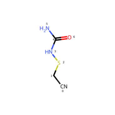 N#CCSNC(N)=O